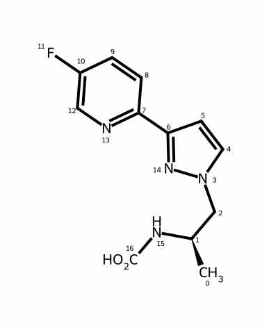 C[C@H](Cn1ccc(-c2ccc(F)cn2)n1)NC(=O)O